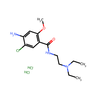 CCN(CC)CCNC(=O)c1cc(Cl)c(N)cc1OC.Cl.Cl